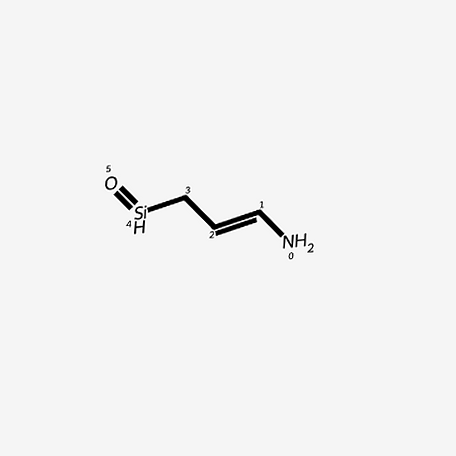 NC=CC[SiH]=O